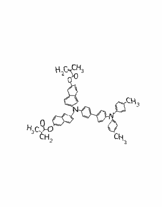 C=C(C)C(=O)Oc1ccc2cc(N(c3ccc(-c4ccc(N(c5ccc(C)cc5)c5ccc(C)cc5)cc4)cc3)c3ccc4cc(OC(=O)C(=C)C)ccc4c3)ccc2c1